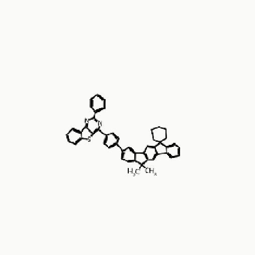 CC1(C)c2ccc(-c3ccc(-c4nc(-c5ccccc5)nc5c4sc4ccccc45)cc3)cc2-c2cc3c(cc21)-c1ccccc1C31CCCCC1